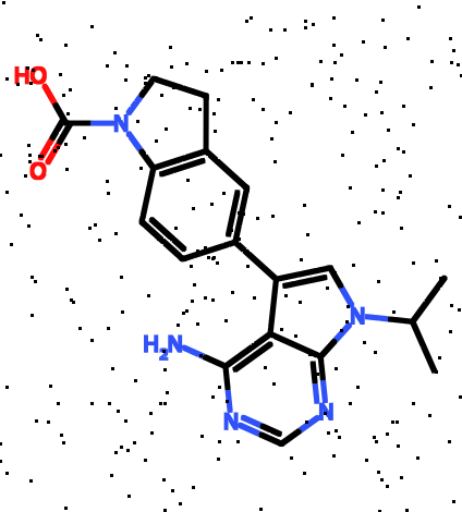 CC(C)n1cc(-c2ccc3c(c2)CCN3C(=O)O)c2c(N)ncnc21